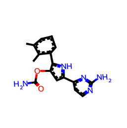 Cc1cccc(-c2[nH]c(-c3ccnc(N)n3)cc2OC(N)=O)c1C